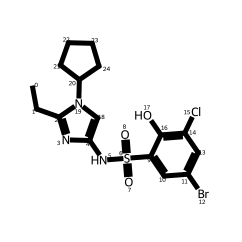 CCc1nc(NS(=O)(=O)c2cc(Br)cc(Cl)c2O)cn1C1CCCC1